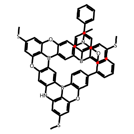 CSc1cc2c3c(c1)Oc1cc(-c4ccccc4)ccc1B3c1cc3c(cc1N2)Oc1cc(SC)cc2c1B3c1cc3c(cc1O2)N(SC)c1cc(SC)cc2c1B3c1ccc(-c3ccccc3)cc1O2